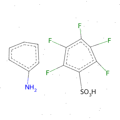 Nc1ccccc1.O=S(=O)(O)c1c(F)c(F)c(F)c(F)c1F